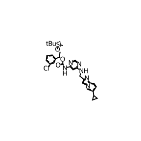 CC(C)(C)[Si](C)(C)OCC(OC(=O)Nc1cc(NCc2cn3cc(C4CC4)ccc3n2)ncn1)c1cccc(Cl)c1